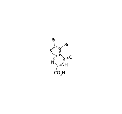 O=C(O)c1nc2sc(Br)c(Br)c2c(=O)[nH]1